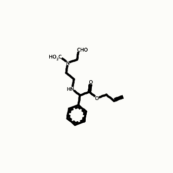 C=CCOC(=O)C(NCCN(CC=O)C(=O)O)c1ccccc1